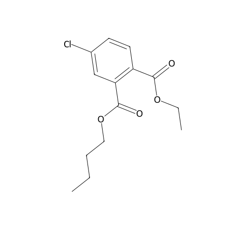 CCCCOC(=O)c1cc(Cl)ccc1C(=O)OCC